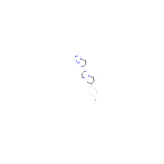 Cc1nc2ccc(-c3cc(=O)n4cc(N5CCN(C6COC6)CC5)cc(C)c4n3)nn2n1